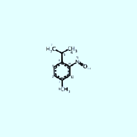 Cc1ccc(C(C)C)c(N=O)c1